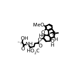 COc1ccc2c3c1O[C@@H]1C(OC(=O)CC[C@H](NC(=O)[C@H](C)O)C(=O)O)=CC[C@]4(O)[C@H](C2)N(C)CC[C@@]314